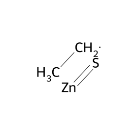 [CH2]C.[S]=[Zn]